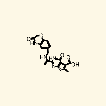 C=C(NCc1ccc2c(c1)NC(=O)CO2)c1nc2sc(C)c(C(=O)O)c2c(=O)[nH]1